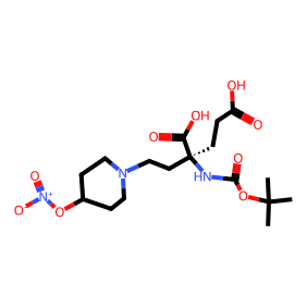 CC(C)(C)OC(=O)N[C@@](CCC(=O)O)(CCN1CCC(O[N+](=O)[O-])CC1)C(=O)O